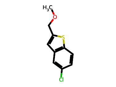 COCc1cc2cc(Cl)ccc2s1